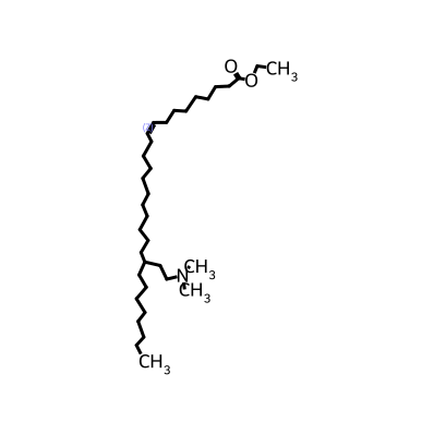 CCCCCCCCC(CCCCCCCCCC/C=C\CCCCCCCC(=O)OCC)CCN(C)C